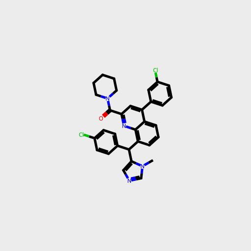 Cn1cncc1C(c1ccc(Cl)cc1)c1cccc2c(-c3cccc(Cl)c3)cc(C(=O)N3CCCCC3)nc12